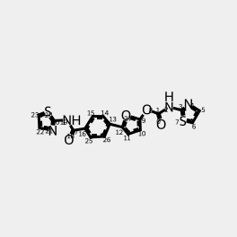 O=C(Nc1nccs1)Oc1ccc(-c2ccc(C(=O)Nc3nccs3)cc2)o1